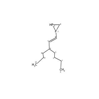 CCCCC(/C=C/P1CP1)CCC